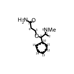 CNC(C)C(OCCC(N)=O)c1ccccc1